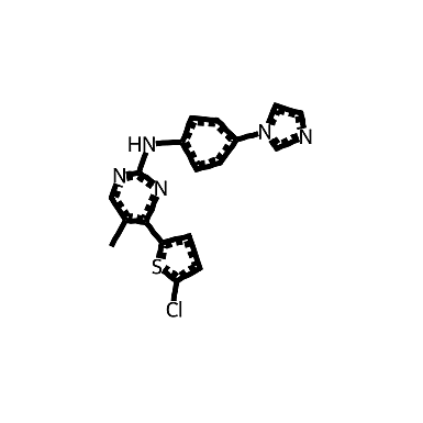 Cc1cnc(Nc2ccc(-n3ccnc3)cc2)nc1-c1ccc(Cl)s1